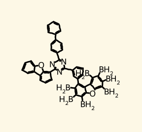 Bc1c(B)c(B)c2c(oc3c(B)c(B)c(B)c(-c4cccc(-c5nc(-c6ccc(-c7ccccc7)cc6)nc(-c6cccc7c6oc6ccccc67)n5)c4)c32)c1B